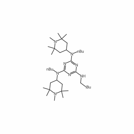 CCCCN(c1nc(NCC(C)CC)nc(N(CCCC)C2CC(C)(C)N(C)C(C)(C)C2)n1)C1CC(C)(C)N(C)C(C)(C)C1